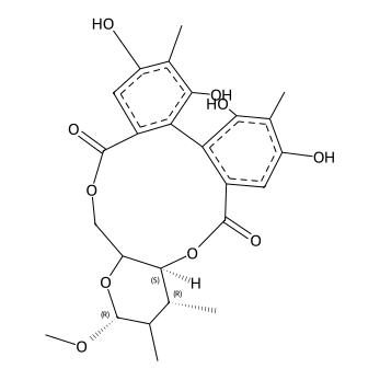 CO[C@@H]1OC2COC(=O)c3cc(O)c(C)c(O)c3-c3c(cc(O)c(C)c3O)C(=O)O[C@H]2[C@H](C)C1C